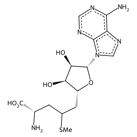 CSC(C[C@H](N)C(=O)O)C[C@H]1O[C@@H](n2cnc3c(N)ncnc32)[C@H](O)[C@@H]1O